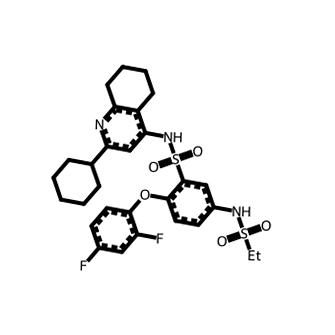 CCS(=O)(=O)Nc1ccc(Oc2ccc(F)cc2F)c(S(=O)(=O)Nc2cc(C3CCCCC3)nc3c2CCCC3)c1